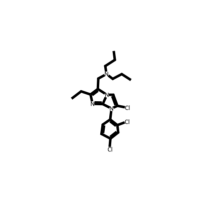 CCCN(CCC)Cc1c(CC)nc2n(-c3ccc(Cl)cc3Cl)c(Cl)cn12